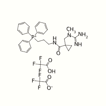 CN(CC1(C(=O)NCCC[P+](c2ccccc2)(c2ccccc2)c2ccccc2)CC1)C(=N)N.O=C(O)C(F)(F)F.O=C([O-])C(F)(F)F